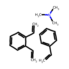 C=Cc1ccccc1.C=Cc1ccccc1C=C.CN(C)C